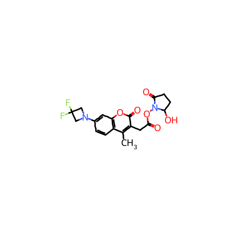 Cc1c(CC(=O)ON2C(=O)CCC2O)c(=O)oc2cc(N3CC(F)(F)C3)ccc12